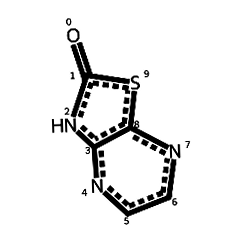 O=c1[nH]c2nccnc2s1